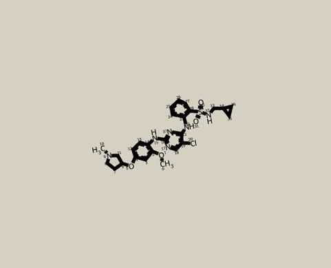 COc1cc(OC2CCN(C)C2)ccc1Nc1ncc(Cl)c(Nc2ccccc2S(=O)(=O)NCC2CC2)n1